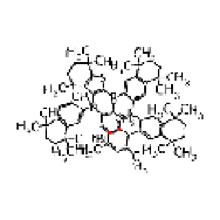 Cc1cc(C)c(C2=CC3=C(CC2N2c4cc5c(cc4B4c6sc7c(c6N(c6ccc8c(c6)C(C)(C)CCC8(C)C)c6cc(C(C)(C)C)cc2c64)C(C)(C)CCC7(C)C)C(C)(C)CCC5(C)C)C(C)(C)CCC3(C)C)c(C)c1